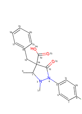 CC1N(C)N(c2ccc(F)cc2)C(=O)C1(Cc1ccccc1)C(=O)O